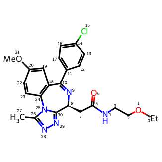 CCOCCNC(=O)C[C@@H]1N=C(c2ccc(Cl)cc2)c2cc(OC)ccc2-n2c(C)nnc21